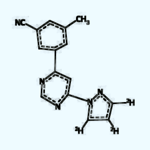 [2H]c1nn(-c2cc(-c3cc(C)cc(C#N)c3)ncn2)c([2H])c1[2H]